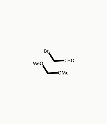 COCOC.O=CCBr